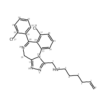 C=CCCCCNCc1nnc2n1-c1cccc(Cl)c1C(c1ccccc1Cl)=NC2